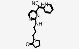 N#C/C(=C1/C=CC=CN1)c1ccnc(NCCCN2CCCC2=O)n1